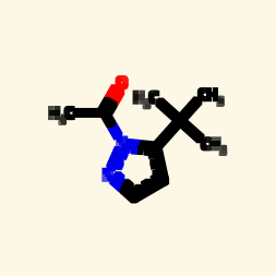 CC(=O)n1nccc1C(C)(C)C